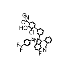 N#Cc1ccccc1-c1c(-c2cccc(-c3ccc(C(=O)N=O)c(O)c3Cl)c2)n(Sc2ccc(C(F)F)cc2)c2ccc(F)cc12